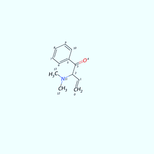 C=CC(C(=O)c1ccccc1)N(C)C